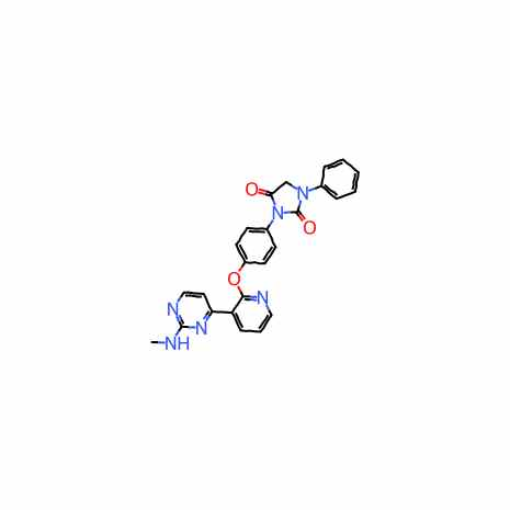 CNc1nccc(-c2cccnc2Oc2ccc(N3C(=O)CN(c4ccccc4)C3=O)cc2)n1